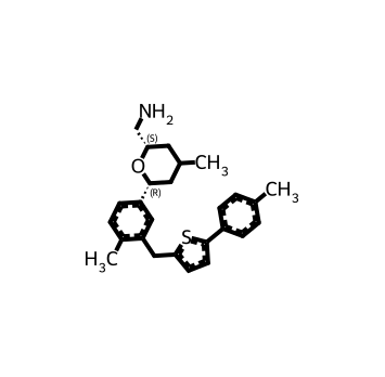 Cc1ccc(-c2ccc(Cc3cc([C@H]4CC(C)C[C@@H](CN)O4)ccc3C)s2)cc1